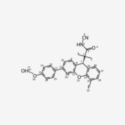 CC(C)(C(=O)NC#N)[C@@H]1c2ccc(-c3ccc(OC=O)cc3)nc2Oc2c(F)cccc21